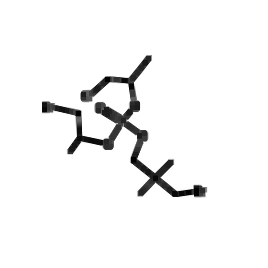 CC(CCl)OP(=O)(OCC(C)(C)CBr)OC(C)CBr